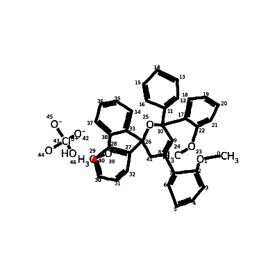 COc1ccccc1C1=CC(c2ccccc2)(c2ccccc2OC)OC(c2ccccc2)(c2ccccc2OC)C1.[O-][Cl+3]([O-])([O-])O